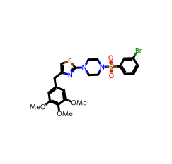 COc1cc(Cc2csc(N3CCN(S(=O)(=O)c4cccc(Br)c4)CC3)n2)cc(OC)c1OC